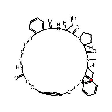 CC(C)C[C@H]1NC(=O)c2ccccc2OCCCNC(=O)COc2ccc(cc2)CCNC(=O)[C@H](Cc2ccccc2)N(C)C(=O)[C@H]2CCCN2C1=O